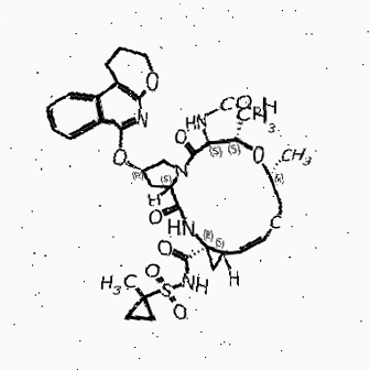 C[C@@H]1CCC=C[C@@H]2C[C@@]2(C(=O)NS(=O)(=O)C2(C)CC2)NC(=O)[C@@H]2C[C@@H](Oc3nc4c(c5ccccc35)CCCO4)CN2C(=O)[C@@H](NC(=O)O)[C@H](C)O1